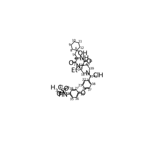 CCN1C(=O)[C@@H](CC2(O)CCCCC2)NC(=O)C12CCN(Cc1ccc(Oc3ccc(NS(C)(=O)=O)cc3)cc1)CC2.Cl